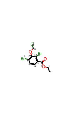 CCOC(=O)c1ccc(Br)c(OCCl)c1Br